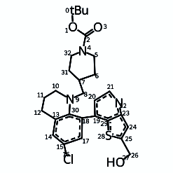 CC(C)(C)OC(=O)N1CCC(CN2CCCc3cc(Cl)cc(-c4ccnc5cc(CO)sc45)c32)CC1